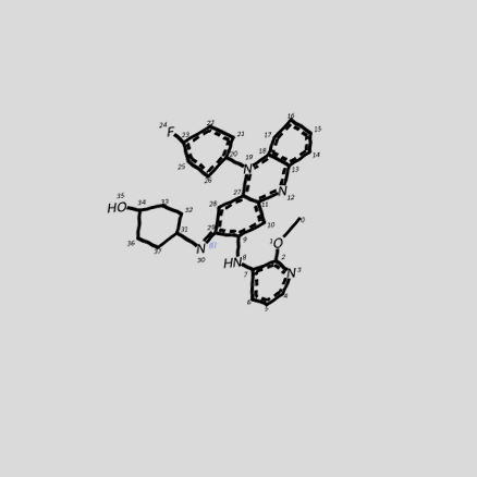 COc1ncccc1Nc1cc2nc3ccccc3n(-c3ccc(F)cc3)c-2c/c1=N\C1CCC(O)CC1